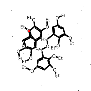 CCOc1cc(OCC)c(OCC)c([SiH](O[SiH](c2cc(OCC)cc(OCC)c2OCC)c2cc(OCC)cc(OCC)c2OCC)c2cc(OCC)cc(OCC)c2OCC)c1